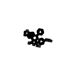 COc1ccc(C2(O)OC(=O)C(c3ccc4c(c3)OCO4)=C2CC(c2ccccc2)C2CCCC2)cc1